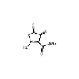 CCCCC1=C(C(=O)NC)C(=S)C(=S)C1